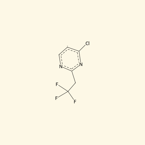 FC(F)(F)Cc1nc[c]c(Cl)n1